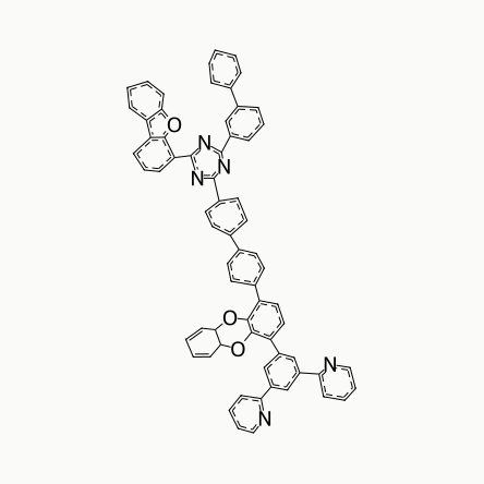 C1=CC2Oc3c(-c4ccc(-c5ccc(-c6nc(-c7cccc(-c8ccccc8)c7)nc(-c7cccc8c7oc7ccccc78)n6)cc5)cc4)ccc(-c4cc(-c5ccccn5)cc(-c5ccccn5)c4)c3OC2C=C1